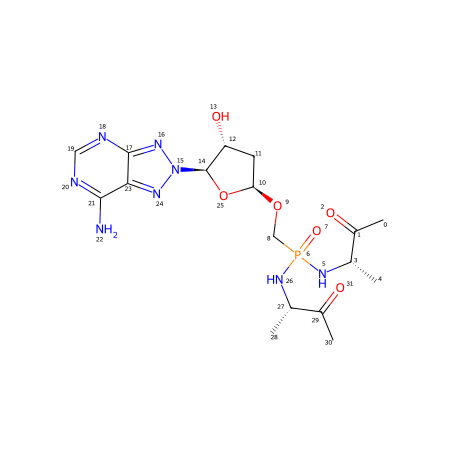 CC(=O)[C@H](C)NP(=O)(CO[C@@H]1C[C@@H](O)[C@H](n2nc3ncnc(N)c3n2)O1)N[C@@H](C)C(C)=O